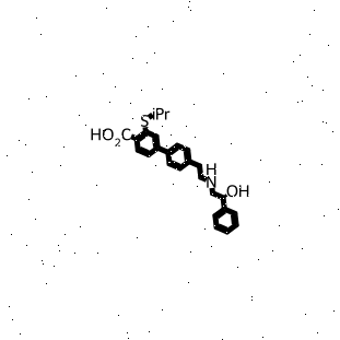 CC(C)Sc1cc(-c2ccc(CCNC[C@@H](O)c3ccccc3)cc2)ccc1C(=O)O